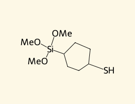 CO[Si](OC)(OC)C1CCC(S)CC1